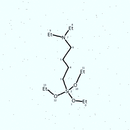 CCO[Si](CCCCN(CC)CC)(OCC)OCC